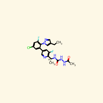 CCc1cnn(-c2c(F)cc(Cl)cc2-c2cnc([C@@H](C)NC(=O)NNC(C)=O)c(F)c2)c1